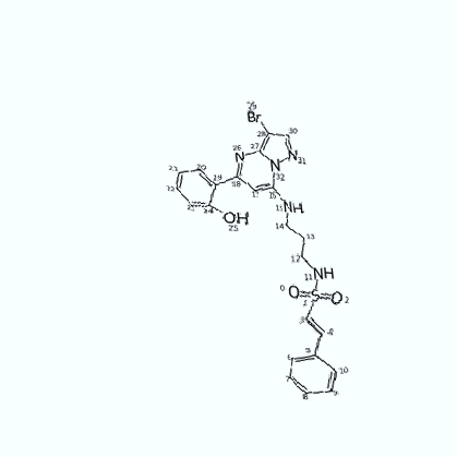 O=S(=O)(/C=C/c1ccccc1)NCCCNc1cc(-c2ccccc2O)nc2c(Br)cnn12